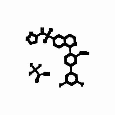 COc1cc(-c2cc(F)cc(F)c2)ccc1-c1nccc2cc(S(=O)(=O)Nc3ccsn3)ccc12.O=C(O)C(F)(F)F